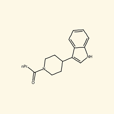 CCCC(=O)N1CCC(c2c[nH]c3ccccc23)CC1